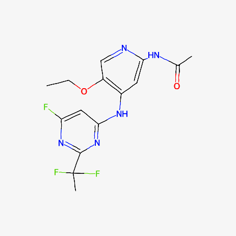 CCOc1cnc(NC(C)=O)cc1Nc1cc(F)nc(C(C)(F)F)n1